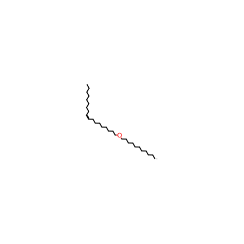 [CH2]CCCCCCCCCCOCCCCCCCC/C=C\CCCCCCCC